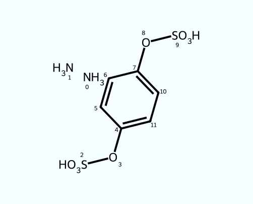 N.N.O=S(=O)(O)Oc1ccc(OS(=O)(=O)O)cc1